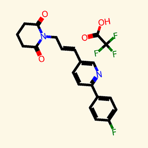 O=C(O)C(F)(F)F.O=C1CCCC(=O)N1CC=Cc1ccc(-c2ccc(F)cc2)nc1